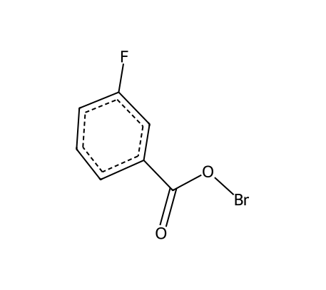 O=C(OBr)c1cccc(F)c1